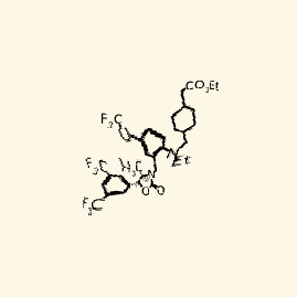 CCOC(=O)CC1CCC(CN(CC)c2ccc(OC(F)(F)F)cc2CN2C(=O)O[C@H](c3cc(C(F)(F)F)cc(C(F)(F)F)c3)[C@@H]2C)CC1